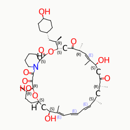 C/C1=C\[C@@H](C)C(=O)C[C@@H]([C@H](C)C[C@H]2CC[C@H](O)CC2)OC(=O)[C@@H]2CCCCN2C(=O)C(=O)[C@]2(O)O[C@@H](CC[C@H]2C)C[C@H](O)/C(C)=C/C=C/C=C/[C@@H](C)C[C@@H](C)C(=O)C[C@@H]1O